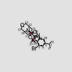 CC(C)c1cc(Br)c2oc(N3CC4COCC(C3)N4C(=O)OC(C)(C)C)nc2c1